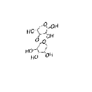 O[C@@H]1[C@@H](O)[C@H](O[C@@H]2[C@@H](O)[C@H](O)OC[C@H]2O)OC[C@H]1O